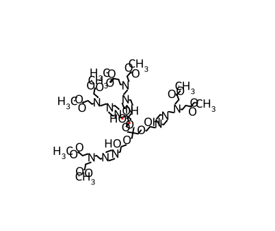 COC(=O)CCN(CCC(=O)OC)CCN1CCN(CC(O)COCC(COCC(O)CN2CCN(CCN(CCC(=O)OC)CCC(=O)OC)CC2)(COCC(O)CN2CCN(CCN(CCC(=O)OC)CCC(=O)OC)CC2)COCC(O)CN2CCN(CCN(CCC(=O)OC)CCC(=O)OC)CC2)CC1